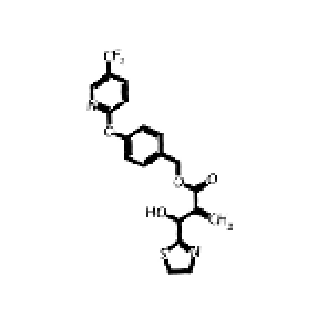 C=C(C(=O)OCc1ccc(Oc2ccc(C(F)(F)F)cn2)cc1)C(O)C1=NCCS1